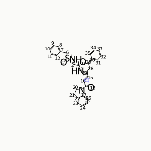 O=C(CN[S+]([O-])Cc1ccccc1)N[C@H](/C=C/C(=O)N1CCc2ccccc21)CCc1ccccc1